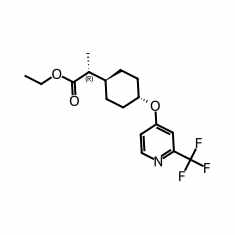 CCOC(=O)[C@H](C)[C@H]1CC[C@H](Oc2ccnc(C(F)(F)F)c2)CC1